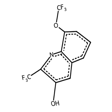 Oc1cc2cccc(OC(F)(F)F)c2nc1C(F)(F)F